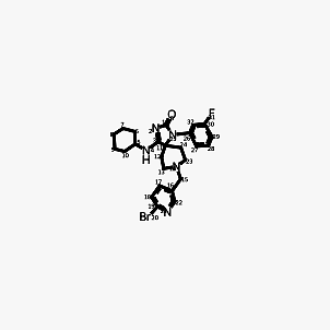 O=C1N=C(NC2CCCCC2)C2(CCN(Cc3ccc(Br)nc3)CC2)N1c1cccc(F)c1